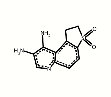 Nc1cnc2ccc3c(c2c1N)CCS3(=O)=O